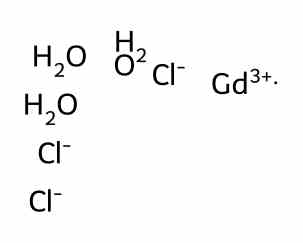 O.O.O.[Cl-].[Cl-].[Cl-].[Gd+3]